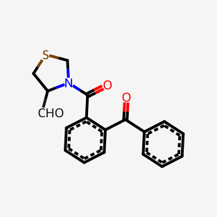 O=CC1CSCN1C(=O)c1ccccc1C(=O)c1ccccc1